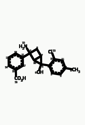 Cc1ccc(C2(O)C3CC(N)(c4cccc(C(=O)O)c4)C32)c(Cl)c1